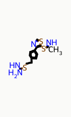 CC(=N)Sc1scnc1-c1ccc(CCSC(=N)N)cc1